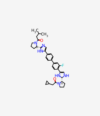 CC(C)CC(=O)N1CCC[C@H]1c1ncc(-c2ccc(-c3ccc(C4=CNC([C@@H]5CCCN5C(=O)CC5CC5)N4)c(F)c3)cc2)[nH]1